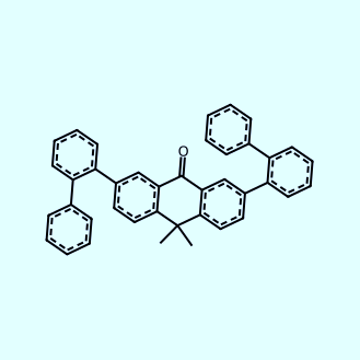 CC1(C)c2ccc(-c3ccccc3-c3ccccc3)cc2C(=O)c2cc(-c3ccccc3-c3ccccc3)ccc21